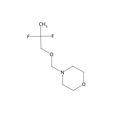 CC(F)(F)COCN1CCOCC1